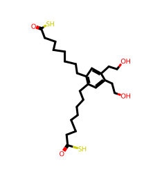 O=C(S)CCCCCCCc1cc(CCO)c(CCO)cc1CCCCCCCC(=O)S